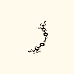 CCOC(=O)c1cnc(-c2ccc(OCCCOc3ccc(-c4ncc(C(=O)OCC)c(O)n4)cc3)cc2)nc1O